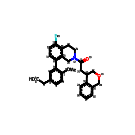 COc1ccc(CC(=O)O)cc1-c1ccc(F)c2c1CN(C(=O)CC1COCc3ccccc31)CC2